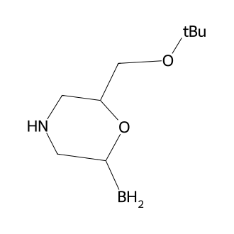 BC1CNCC(COC(C)(C)C)O1